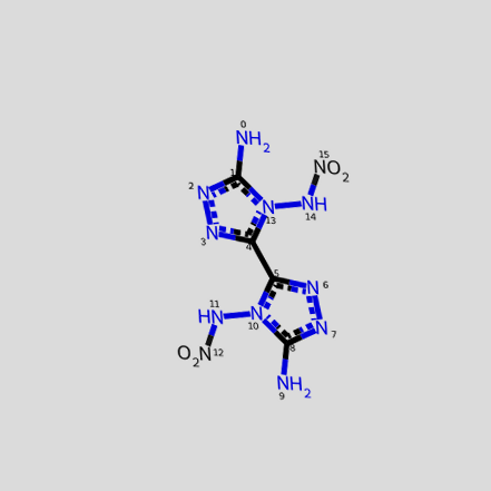 Nc1nnc(-c2nnc(N)n2N[N+](=O)[O-])n1N[N+](=O)[O-]